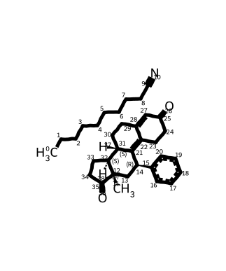 CCCCCCCCCC#N.C[C@]12C[C@H](c3ccccc3)C3=C4CCC(=O)C=C4CC[C@H]3[C@@H]1CCC2=O